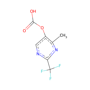 Cc1nc(C(F)(F)F)ncc1OC(=O)O